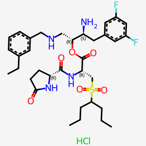 CCCC(CCC)S(=O)(=O)C[C@H](NC(=O)[C@H]1CCC(=O)N1)C(=O)O[C@H](CNCc1cccc(CC)c1)[C@@H](N)Cc1cc(F)cc(F)c1.Cl